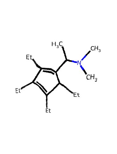 CCC1=C(CC)C(CC)C([C](C)N(C)C)=C1CC